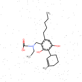 CCCCCc1cc(O)c(C2C=C(C)CCC2)c(O)c1CN(CC)C(=O)O